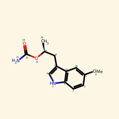 COc1ccc2[nH]cc(C[C@H](C)OC(N)=O)c2c1